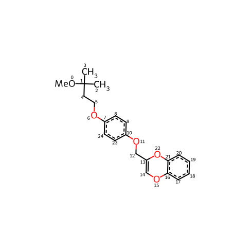 COC(C)(C)CCOc1ccc(OCC2=COc3ccccc3O2)cc1